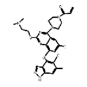 C=CC(=O)N1CCN(c2nc(OCCN(C)C)nc3c(Oc4c(Cl)c(C)cc5[nH]ncc45)cc(Cl)cc23)CC1